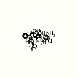 CC(C)OC(=O)CCc1ccccc1OP(=O)(N[C@@H](C)C(=O)OC(C)C)OCC1O[C@@H](n2cnc3c(Cl)nc(N)nc32)[C@](C)(O)[C@@H]1O